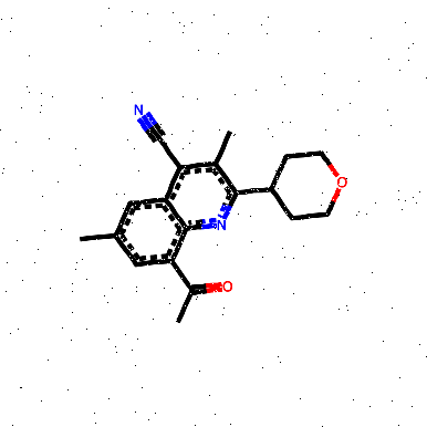 CC(=O)c1cc(C)cc2c(C#N)c(C)c(C3CCOCC3)nc12